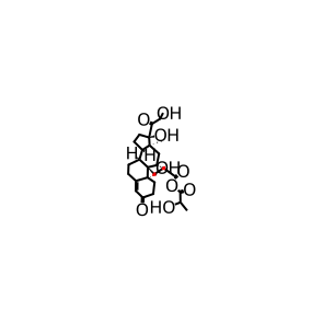 CC(O)C(=O)OC(=O)CC[C@]12[C@@H](O)C[C@@]3(C)[C@@H](CC[C@]3(O)C(=O)CO)[C@@H]1CCC1=CC(=O)CC[C@@]12C